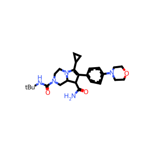 CC(C)(C)NC(=O)N1CCN2C(C3CC3)=C(c3ccc(N4CCOCC4)cc3)C(C(N)=O)C2C1